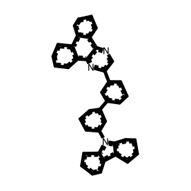 c1cc(-c2cccc(-n3c4ccccc4c4ccccc43)c2)cc(-c2cnc3c4ccccc4c4ccccc4c3n2)c1